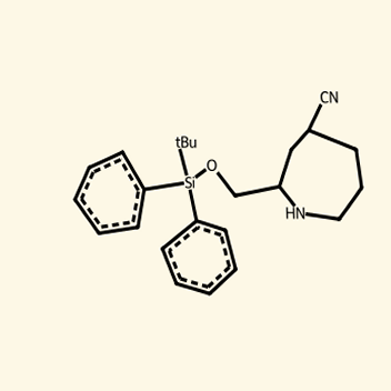 CC(C)(C)[Si](OCC1CC(C#N)CCCN1)(c1ccccc1)c1ccccc1